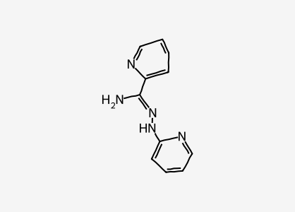 N/C(=N\Nc1ccccn1)c1ccccn1